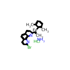 C=[C]([Fe][c]1c(C)cccc1C)c1ccc2ccc3ccc(Br)nc3c2n1.Cl.N